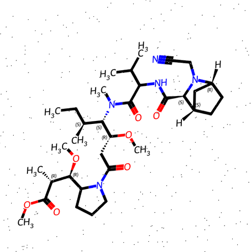 CC[C@H](C)[C@@H]([C@@H](CC(=O)N1CCCC1[C@H](OC)[C@@H](C)C(=O)OC)OC)N(C)C(=O)C(NC(=O)[C@@H]1[C@H]2CC[C@H](C2)N1CC#N)C(C)C